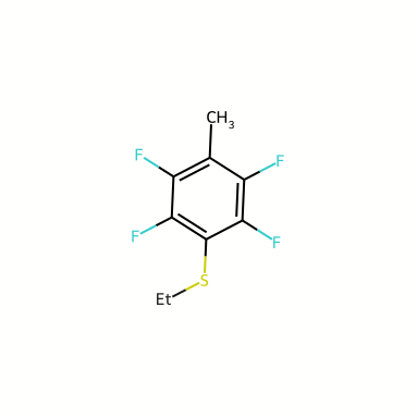 CCSc1c(F)c(F)c(C)c(F)c1F